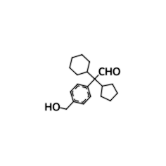 O=CC(c1ccc(CO)cc1)(C1CCCCC1)C1CCCC1